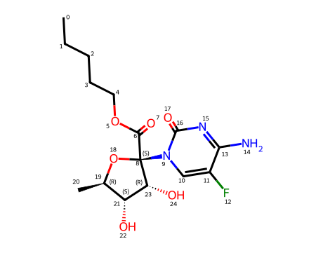 CCCCCOC(=O)[C@@]1(n2cc(F)c(N)nc2=O)O[C@H](C)[C@@H](O)[C@H]1O